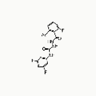 CC(=O)c1cccc(F)c1C(=O)NNC(=O)Nc1cc(F)cc(F)c1